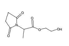 CC(C(=O)OCCO)N1C(=O)CCC1=O